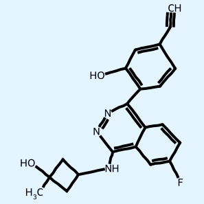 C#Cc1ccc(-c2nnc(NC3CC(C)(O)C3)c3cc(F)ccc23)c(O)c1